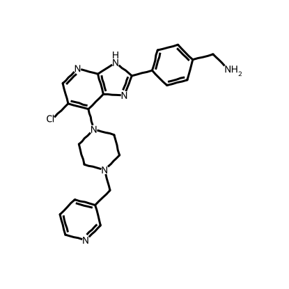 NCc1ccc(-c2nc3c(N4CCN(Cc5cccnc5)CC4)c(Cl)cnc3[nH]2)cc1